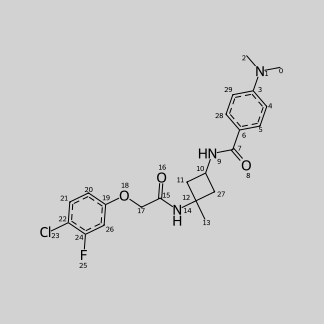 CN(C)c1ccc(C(=O)NC2CC(C)(NC(=O)COc3ccc(Cl)c(F)c3)C2)cc1